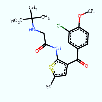 CCc1cc(C(=O)c2ccc(OC(F)(F)F)c(Cl)c2)c(NC(=O)CNC(C)(C)C(=O)O)s1